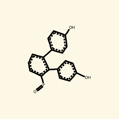 O=Pc1cccc(-c2ccc(O)cc2)c1-c1ccc(O)cc1